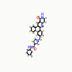 O=C(Nc1cccc(F)c1)C1CCN(Cc2ccc(-c3nc4cc[nH]c(=O)c4cc3-c3ccccc3)cc2)C1